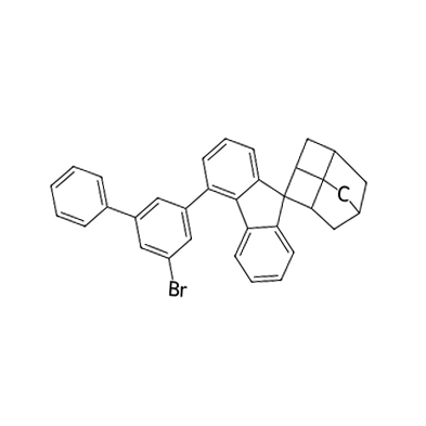 Brc1cc(-c2ccccc2)cc(-c2cccc3c2-c2ccccc2C32C3CC4CC5CC2C53C4)c1